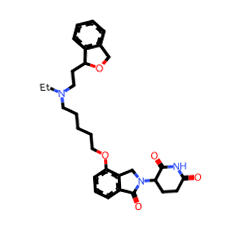 CCN(CCCCCOc1cccc2c1CN(C1CCC(=O)NC1=O)C2=O)CCC1OCc2ccccc21